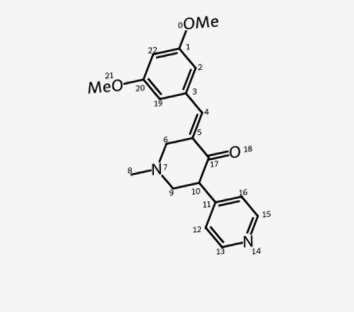 COc1cc(C=C2CN(C)CC(c3ccncc3)C2=O)cc(OC)c1